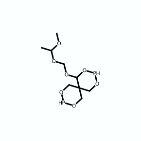 COC(C)OCOC1OPOCC12COPOC2